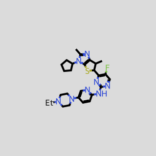 CCN1CCN(c2ccc(Nc3ncc(F)c(C4Sc5c(nc(C)n5C5CCCC5)C4C)n3)nc2)CC1